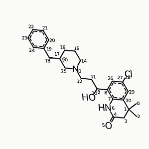 CC1(C)CC(=O)Nc2c(C(O)CCN3CCC[C@H](Cc4ccccc4)C3)cc(Cl)cc21